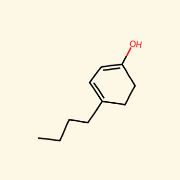 CCCCC1=CC=C(O)CC1